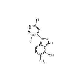 Cc1ccc2c(-c3nc(Cl)ncc3Cl)c[nH]c2c1O